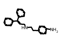 Nc1ccc(CCNCC=C(c2ccccc2)c2ccccc2)cc1